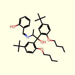 CCCCOc1ccc(C(C)(C)C)cc1C(O)(c1cc(C(C)(C)C)ccc1OCCCC)C(C)N=Cc1ccccc1O